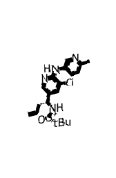 C=CC[C@@H](N[S@+]([O-])C(C)(C)C)c1cnc(Nc2ccc(C)nc2)c(Cl)c1